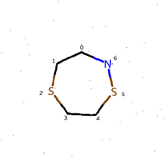 C1CSCCS[N]1